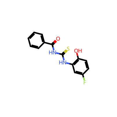 O=C(NC(=S)Nc1cc(F)ccc1O)c1ccccc1